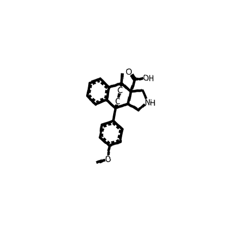 COc1ccc(C23CCC(C)(c4ccccc42)C2(C(=O)O)CNCC32)cc1